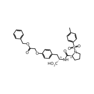 Cc1ccc(S(=O)(=O)N2CCC[C@H]2C(=O)N[C@@H](Cc2ccc(OCC(=O)OCc3ccccc3)cc2)C(=O)O)cc1